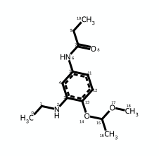 CCNc1cc(NC(=O)CC)ccc1OC(C)OC